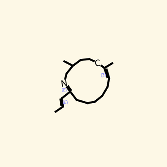 C/C=C/C1=N/CC(C)CCC/C(C)=C\CCCCC1